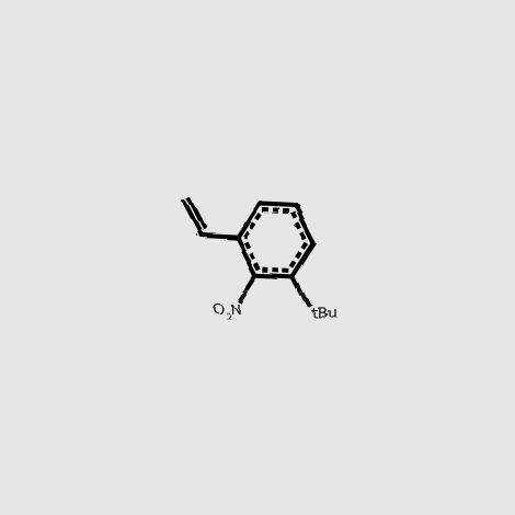 C=[C]c1cccc(C(C)(C)C)c1[N+](=O)[O-]